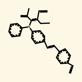 C=C/C(CC)=C(\C(=C)C)N(c1ccccc1)c1ccc(/C=C/c2ccc(C=C)cc2)cc1